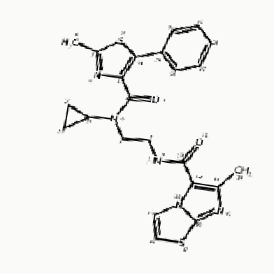 Cc1nc(C(=O)N(CCNC(=O)c2c(C)nc3sccn23)C2CC2)c(-c2ccccc2)s1